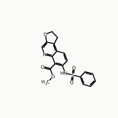 COC(=O)c1c(NS(=O)(=O)c2ccccc2)ccc2c3c(cnc12)OCC3